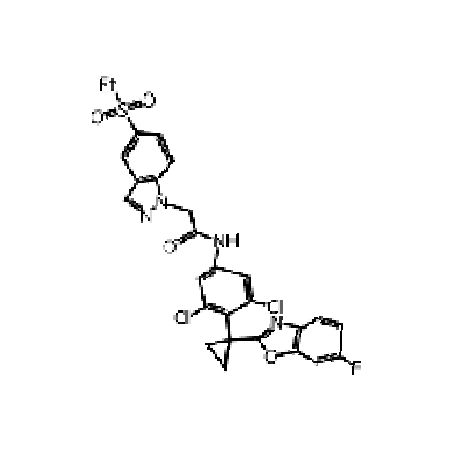 CCS(=O)(=O)c1ccc2c(cnn2CC(=O)Nc2cc(Cl)c(C3(c4nc5ccc(F)cc5o4)CC3)c(Cl)c2)c1